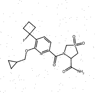 NC(=O)C1CS(=O)(=O)CN1C(=O)c1ccc(C2(F)CCC2)c(OCC2CC2)n1